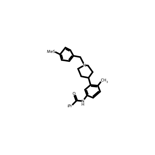 CSc1ccc(CN2CCC(c3cc(NC(=O)C(C)C)ccc3C)CC2)cc1